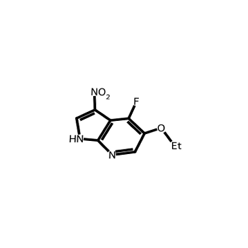 CCOc1cnc2[nH]cc([N+](=O)[O-])c2c1F